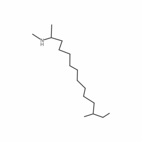 CCC(C)CCCCCCCCCC(C)NC